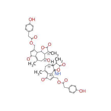 C=C1C(=O)O[C@]23N[C@@]24C(COC(=O)Cc2ccc(O)cc2)=CC(=O)C4=C(C)C[C@H](O[C@H]2CC(C)=C4C(=O)C=C(COC(=O)Cc5ccc(O)cc5)C4C4OC(=O)[C@@H](C)C42)[C@@H]13